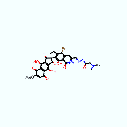 COC1=CC(=O)c2c(O)c3c(c(O)c2C1=O)C(=O)[C@]1(CCc2c1c(O)c1c(=O)[nH]c(/C=N/NC(=O)CN(C)C(C)C)cc1c2Br)C3=O